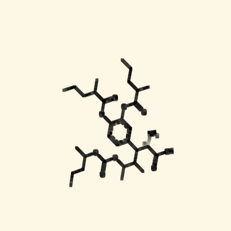 CCCC(C)OC(=O)OC(C)C(C)C(c1ccc(OC(=O)C(C)CCC)c(OC(=O)C(C)CCC)c1)[C@H](N)C(=O)O